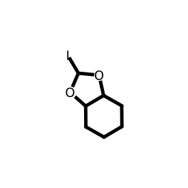 IC1OC2CCCCC2O1